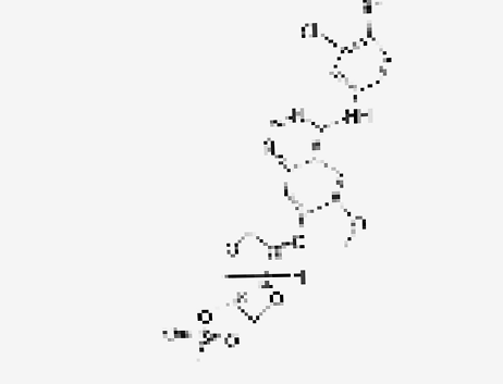 COc1cc2c(Nc3ccc(Br)c(Cl)c3)ncnc2cc1O[C@@H]1COC2(C)[C@@H](OS(C)(=O)=O)CO[C@@H]12